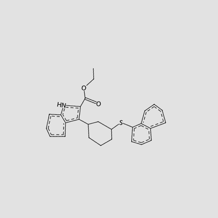 CCOC(=O)c1[nH]c2ccccc2c1C1CCCC(Sc2cccc3ccccc23)C1